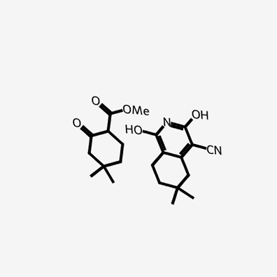 CC1(C)CCc2c(O)nc(O)c(C#N)c2C1.COC(=O)C1CCC(C)(C)CC1=O